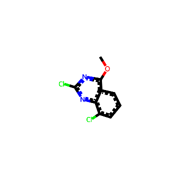 COc1nc(Cl)nc2c(Cl)cccc12